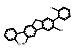 CCc1ccccc1-c1cc2c(cc1C(C)(C)C)-c1cc(C(C)(C)C)c(-c3ccccc3CC)cc1C2